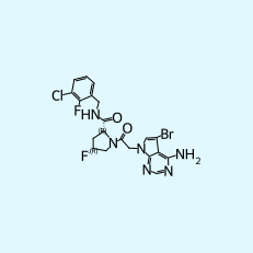 Nc1ncnc2c1c(Br)cn2CC(=O)N1C[C@H](F)C[C@@H]1C(=O)NCc1cccc(Cl)c1F